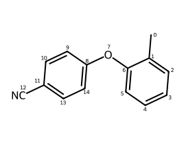 Cc1ccccc1Oc1ccc(C#N)cc1